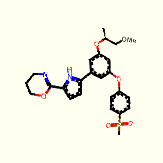 COC[C@H](C)Oc1cc(Oc2ccc(S(C)(=O)=O)cc2)cc(-c2ccc(C3=NCCCO3)[nH]2)c1